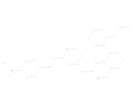 Cc1ccc(Nc2ncc3cccc(-c4ccc(F)cc4OC(C)C)c3n2)cc1NC(=O)c1ccc(C(=O)O)cc1